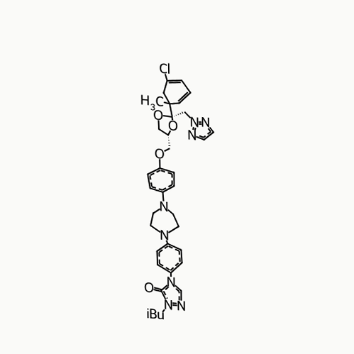 CCC(C)n1ncn(-c2ccc(N3CCN(c4ccc(OC[C@@H]5CO[C@@](Cn6nccn6)(C6(C)C=CC=C(Cl)C6)O5)cc4)CC3)cc2)c1=O